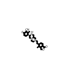 Cc1c([C@@H]2CN3CCN(CCc4ccc5c(c4C)COC5=O)CC3CN2)ccc(F)c1C#N